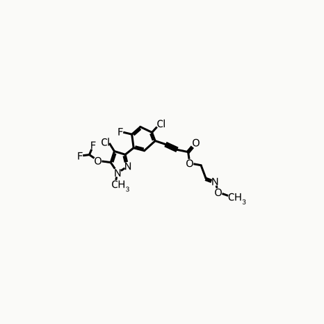 CON=CCOC(=O)C#Cc1cc(-c2nn(C)c(OC(F)F)c2Cl)c(F)cc1Cl